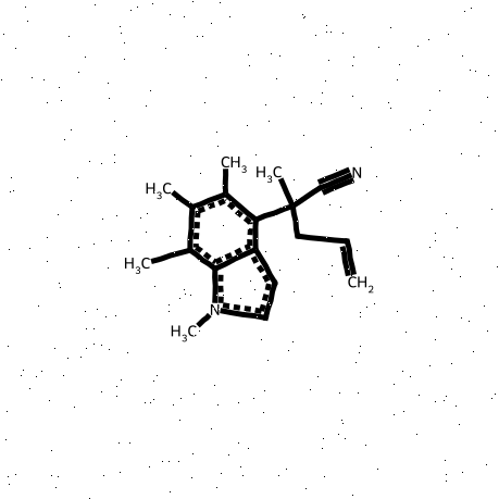 C=CCC(C)(C#N)c1c(C)c(C)c(C)c2c1ccn2C